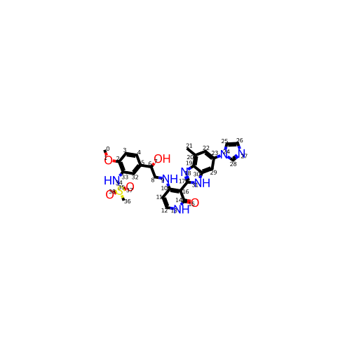 COc1ccc(C(O)CNc2cc[nH]c(=O)c2-c2nc3c(C)cc(-n4ccnc4)cc3[nH]2)cc1NS(C)(=O)=O